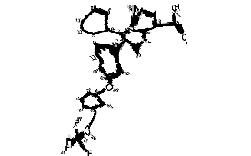 O=C(O)c1cnn2c(C3CCCCC3)c(-c3cccc(Oc4cccc(OC(F)(F)F)c4)c3)cnc12